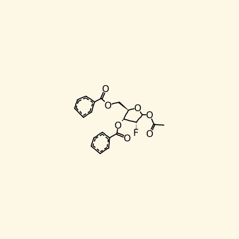 CC(=O)OC1O[C@H](COC(=O)c2ccccc2)[C@@H](OC(=O)c2ccccc2)[C@H]1F